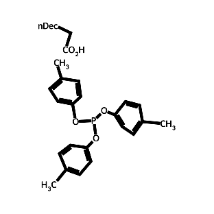 CCCCCCCCCCCC(=O)O.Cc1ccc(OP(Oc2ccc(C)cc2)Oc2ccc(C)cc2)cc1